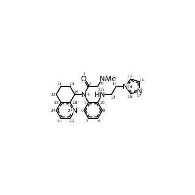 CNCC(=O)N(c1ccccc1NCCn1ccnc1)C1CCCc2cccnc21